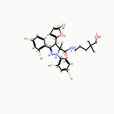 CC(C)(CO)CCCNC(=O)C1(C)C(c2ccc(Cl)o2)C(c2ccc(F)cc2F)=NN1c1ccc(F)cc1F